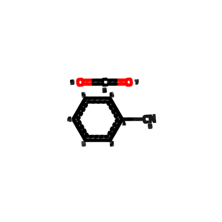 N#Cc1ccccc1.O=C=O